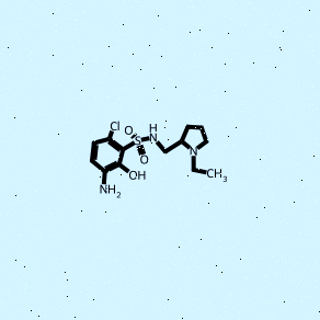 CCN1CCCC1CNS(=O)(=O)c1c(Cl)ccc(N)c1O